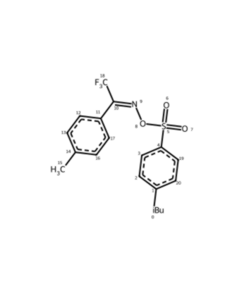 CCC(C)c1ccc(S(=O)(=O)ON=C(c2ccc(C)cc2)C(F)(F)F)cc1